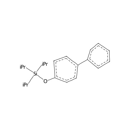 CC(C)[Si](Oc1ccc(-c2ccccc2)cc1)(C(C)C)C(C)C